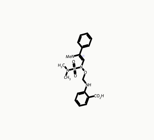 CN/C(=C\N(OCNc1ccccc1C(=O)O)S(=O)(=O)N(C)C)c1ccccc1